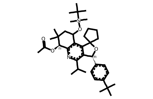 CC(=O)O[C@@H]1c2nc(C(C)C)c3c(c2C(O[Si](C)(C)C(C)(C)C)CC1(C)C)C1(CCCC1)O[C@@H]3c1ccc(C(C)(C)C)cc1